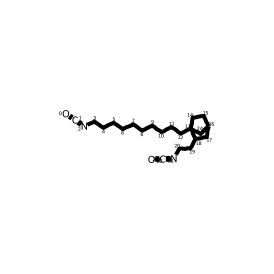 O=C=NCCCCCCCCCCC12CCC(CC1CCN=C=O)C2